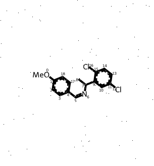 COc1ccc(/C=N\C(C)c2cc(Cl)ccc2Cl)cc1